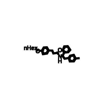 CCCCCCOc1ccc(CCC(=O)NC(Cc2ccc(C)cc2)c2ccccc2)cc1